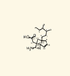 CCC(C)C(C)CC[C@@]12CC=C[C@H]1[C@](CN)(CC(=O)O)C2